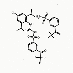 CC(C)c1cc(Cl)cc(C(C)C)c1NC(=O)NS(=O)(=O)c1cccc(C(=O)C(F)(F)F)c1.NS(=O)(=O)c1cccc(C(=O)C(F)(F)F)c1